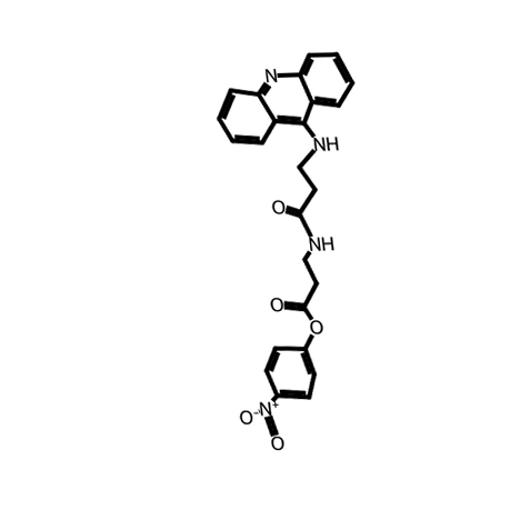 O=C(CCNc1c2ccccc2nc2ccccc12)NCCC(=O)Oc1ccc([N+](=O)[O-])cc1